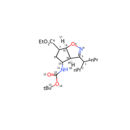 CCCC(CCC)C1=NO[C@@H]2C(C(=O)OCC)CC(NC(=O)OC(C)(C)C)[C@H]12